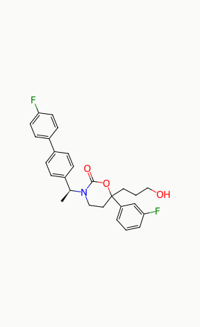 C[C@@H](c1ccc(-c2ccc(F)cc2)cc1)N1CCC(CCCO)(c2cccc(F)c2)OC1=O